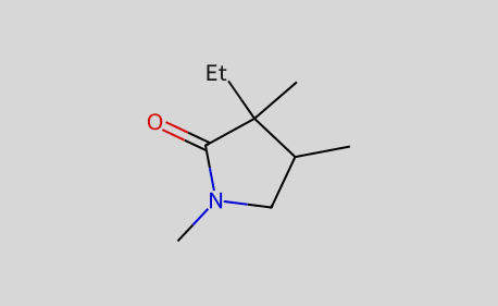 CCC1(C)C(=O)N(C)CC1C